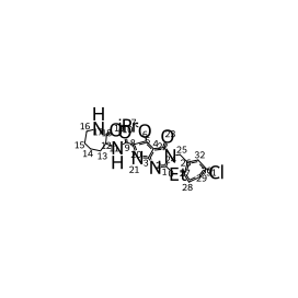 CCc1nc2c(c(OC(C)C)c(C(=O)NC3CCCCNC3=O)n2C)c(=O)n1Cc1cccc(Cl)c1